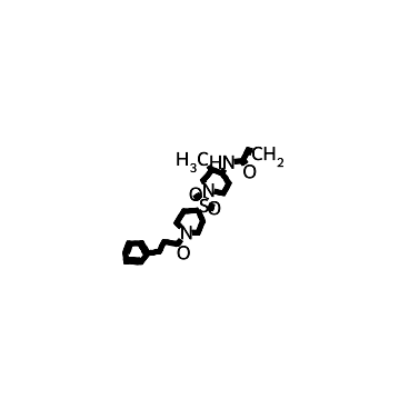 C=CC(=O)NC1CCN(S(=O)(=O)C2CCN(C(=O)CCc3ccccc3)CC2)CC1C